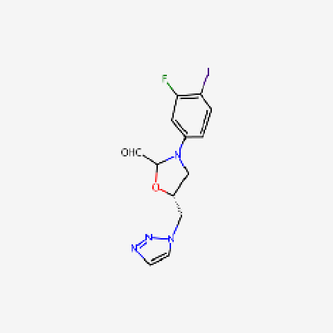 O=CC1O[C@@H](Cn2ccnn2)CN1c1ccc(I)c(F)c1